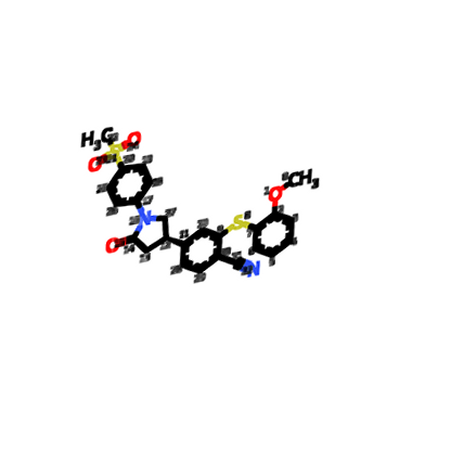 COc1ccccc1Sc1cc([C@H]2CC(=O)N(c3ccc(S(C)(=O)=O)cc3)C2)ccc1C#N